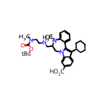 CN(CCN(C)C(=O)OC(C)(C)C)CC1Cn2c(c(C3CCCCC3)c3ccc(C(=O)O)cc32)-c2ccccc2N1C